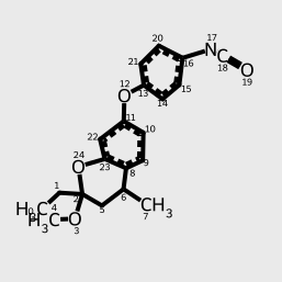 CCC1(OC)CC(C)c2ccc(Oc3ccc(N=C=O)cc3)cc2O1